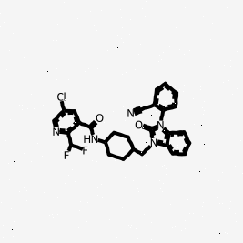 N#Cc1ccccc1-n1c(=O)n(CC2CCC(NC(=O)c3cc(Cl)cnc3C(F)F)CC2)c2ccccc21